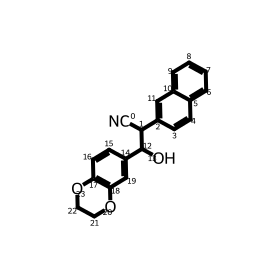 N#CC(c1ccc2ccccc2c1)C(O)c1ccc2c(c1)OCCO2